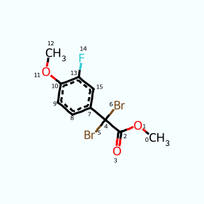 COC(=O)C(Br)(Br)c1ccc(OC)c(F)c1